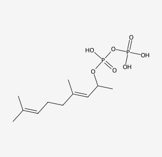 CC(C)=CCC/C(C)=C/C(C)OP(=O)(O)OP(=O)(O)O